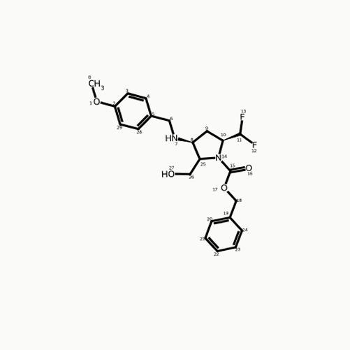 COc1ccc(CN[C@H]2C[C@@H](C(F)F)N(C(=O)OCc3ccccc3)C2CO)cc1